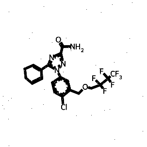 NC(=O)c1nc(C2=CCCC=C2)n(-c2ccc(Cl)c(COCC(F)(F)C(F)(F)C(F)(F)F)c2)n1